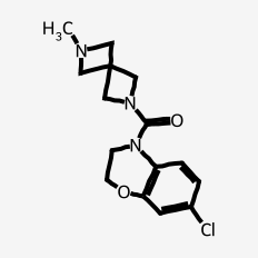 CN1CC2(C1)CN(C(=O)N1CCOc3cc(Cl)ccc31)C2